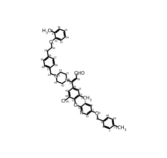 Cc1ccc(COc2ccc(Oc3c(C)cc(C(=CC=O)N4CCN(Cc5ccc(CCOc6ccccc6C)cc5)CC4)cc3Cl)nc2)cc1